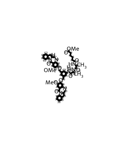 COC(=O)CCCCC(=O)N[C@@H](C)C(=O)N[C@@H](C)C(=O)Nc1cc(COc2cc3c(cc2OC)C(=O)N2c4ccccc4CC2C=N3)cc(COc2cc3c(cc2OC)C(=O)N2c4ccccc4C[C@H]2C=N3)c1